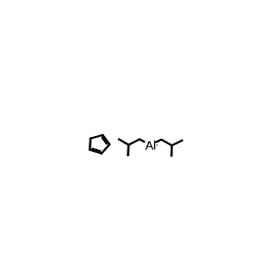 C1=CCC=C1.CC(C)[CH2][Al][CH2]C(C)C